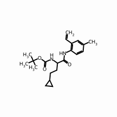 C=Cc1cc(C)ccc1NC(=O)C(CCC1CC1)NC(=O)OC(C)(C)C